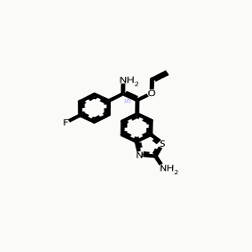 C=CO/C(=C(\N)c1ccc(F)cc1)c1ccc2nc(N)sc2c1